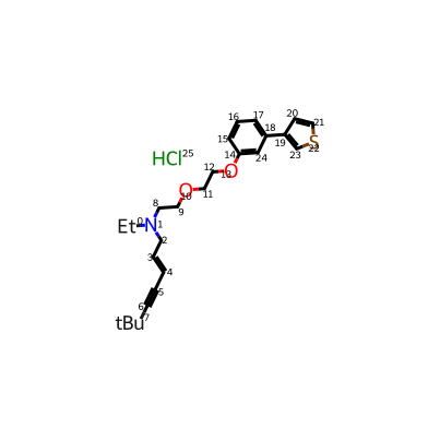 CCN(C/C=C/C#CC(C)(C)C)CCOCCOc1cccc(-c2ccsc2)c1.Cl